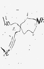 C#CC1(O)CNC1